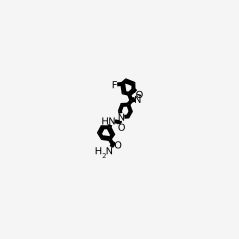 NC(=O)c1cccc(NC(=O)N2CCC(c3noc4ccc(F)cc34)CC2)c1